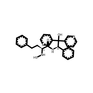 O=C(N[C@H](c1ccccc1)C(O)(c1cccnc1)c1cccnc1)[C@H](CCc1ccccc1)NS